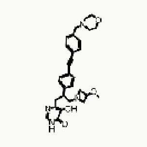 COC1CN(CC(Cc2nc[nH]c(=O)c2O)c2ccc(C#Cc3ccc(CN4CCOCC4)cc3)cc2)C1